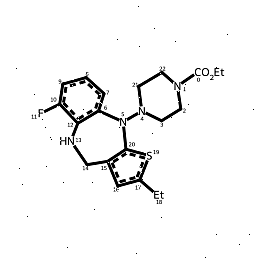 CCOC(=O)N1CCN(N2c3cccc(F)c3NCc3cc(CC)sc32)CC1